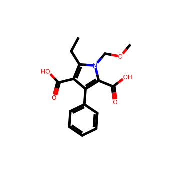 CCc1c(C(=O)O)c(-c2ccccc2)c(C(=O)O)n1COC